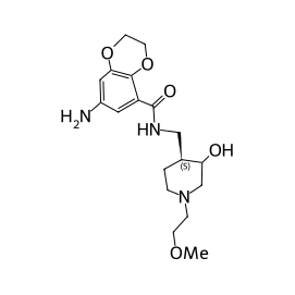 COCCN1CC[C@@H](CNC(=O)c2cc(N)cc3c2OCCO3)C(O)C1